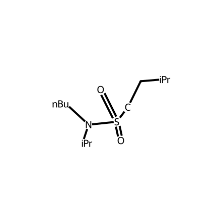 CCCCN(C(C)C)S(=O)(=O)CCC(C)C